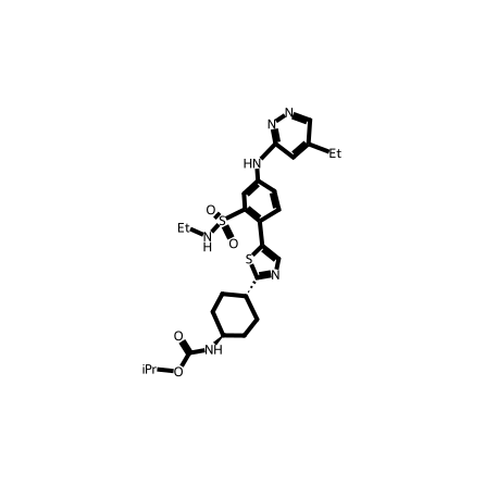 CCNS(=O)(=O)c1cc(Nc2cc(CC)cnn2)ccc1-c1cnc([C@H]2CC[C@H](NC(=O)OC(C)C)CC2)s1